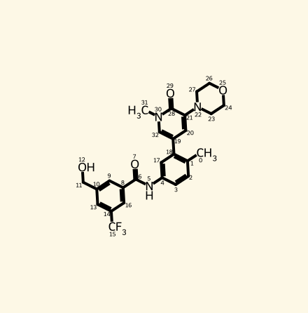 Cc1ccc(NC(=O)c2cc(CO)cc(C(F)(F)F)c2)cc1-c1cc(N2CCOCC2)c(=O)n(C)c1